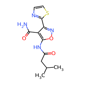 CC(C)CC(=O)Nc1onc(-c2nccs2)c1C(N)=O